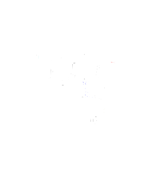 CSc1cc(C(=O)O)n(-c2ccc(F)cc2)n1